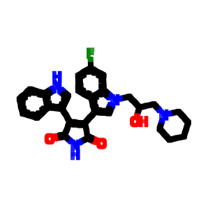 O=C1NC(=O)C(c2cn(CC(O)CN3CCCCC3)c3cc(F)ccc23)=C1c1c[nH]c2ccccc12